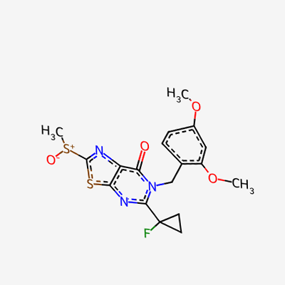 COc1ccc(Cn2c(C3(F)CC3)nc3sc([S+](C)[O-])nc3c2=O)c(OC)c1